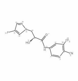 N#Cc1ncc(NC(=O)[C@@H](O)Cn2cc(F)cn2)cc1C(F)(F)F